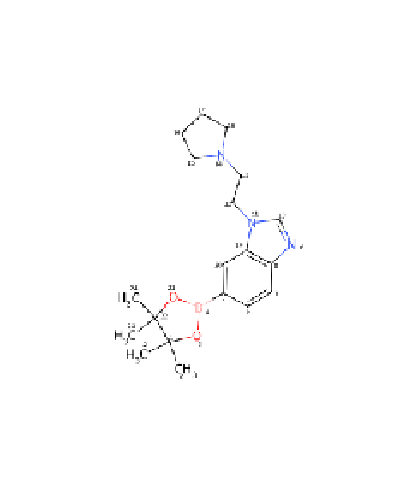 CC1(C)OB(c2ccc3ncn(CCN4CCCC4)c3c2)OC1(C)C